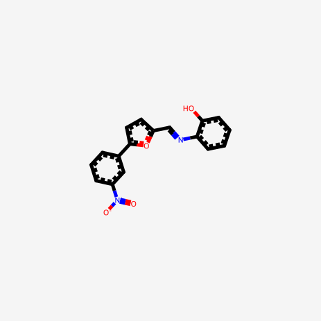 O=[N+]([O-])c1cccc(-c2ccc(C=Nc3ccccc3O)o2)c1